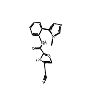 Cn1cncc1-c1ccccc1NC(=O)c1ncc(C#N)[nH]1